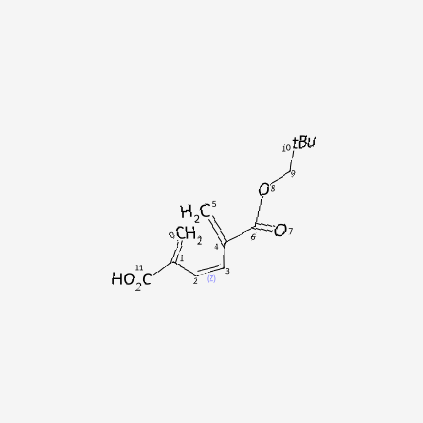 C=C(/C=C\C(=C)C(=O)OCC(C)(C)C)C(=O)O